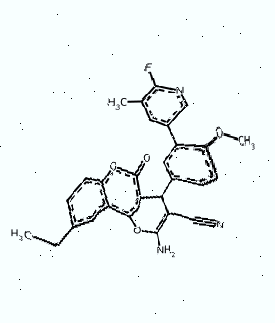 CCc1ccc2oc(=O)c3c(c2c1)OC(N)=C(C#N)C3c1ccc(OC)c(-c2cnc(F)c(C)c2)c1